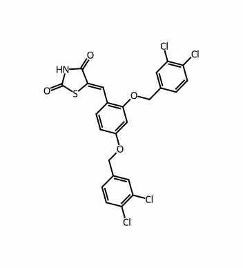 O=C1NC(=O)/C(=C/c2ccc(OCc3ccc(Cl)c(Cl)c3)cc2OCc2ccc(Cl)c(Cl)c2)S1